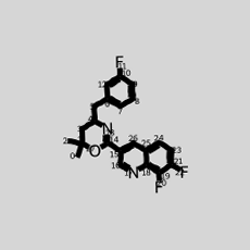 CC1(C)CC(Cc2cccc(F)c2)N=C(c2cnc3c(F)c(F)ccc3c2)O1